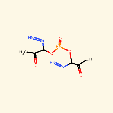 CC(=O)C(N=N)O[PH](=O)OC(N=N)C(C)=O